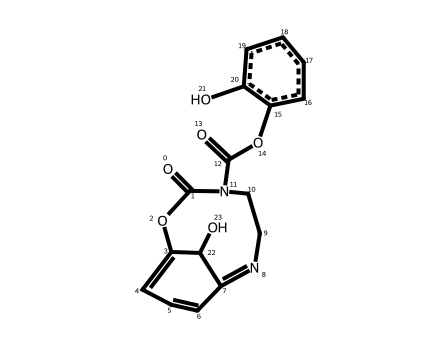 O=C1OC2=CC=CC(=NCCN1C(=O)Oc1ccccc1O)C2O